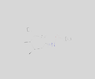 CC[C@H](C(C)=O)C(C)[C@H](C)C/C=N/OC(C)(C)C